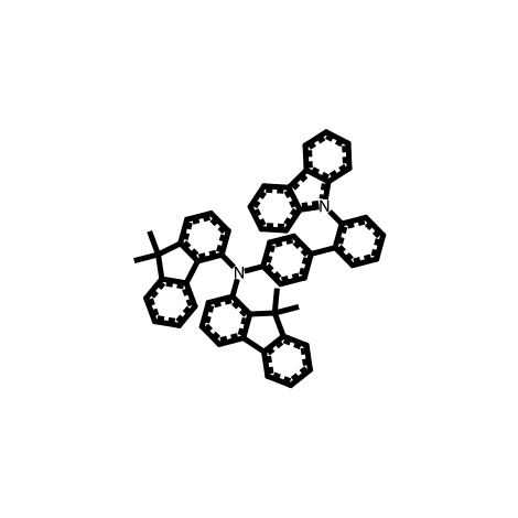 CC1(C)c2ccccc2-c2c(N(c3ccc(-c4ccccc4-n4c5ccccc5c5ccccc54)cc3)c3cccc4c3C(C)(C)c3ccccc3-4)cccc21